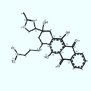 CCN(CC)CCNC1CC(O)(C2COC(C)O2)Cc2c(O)c3c(c(O)c21)C(=O)c1ccccc1C3=O